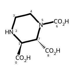 O=C(O)[C@H]1NCCN(C(=O)O)[C@@H]1C(=O)O